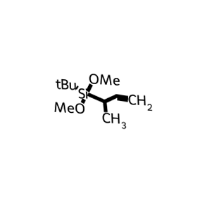 C=CC(C)[Si](OC)(OC)C(C)(C)C